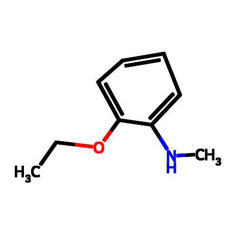 CCOc1ccccc1NC